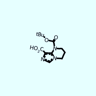 CC(C)(C)OC(=O)N1CCCn2cnc(C(=O)O)c21